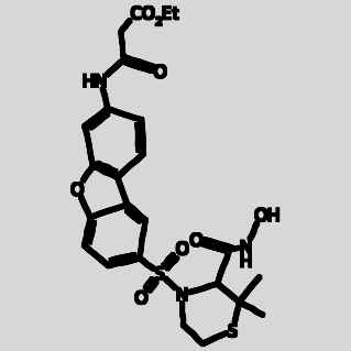 CCOC(=O)CC(=O)Nc1ccc2c(c1)oc1ccc(S(=O)(=O)N3CCSC(C)(C)C3C(=O)NO)cc12